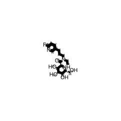 CCN(CCCc1ccc(F)nc1)C(=O)[C@H]1N[C@H](CO)[C@@H](O)[C@H](O)[C@@H]1O